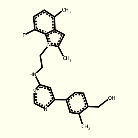 Cc1cc(-c2cc(NCCn3c(C)cc4c(C)ccc(F)c43)ncn2)ccc1CO